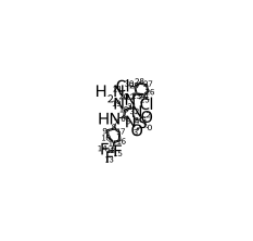 CS(=O)(=O)c1nc(Nc2ccc(C(F)(F)F)cc2)c2nc(N)n(-c3c(Cl)cccc3Cl)c2n1